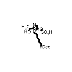 CCCCCCCCCCCCCCCCn1ccnc1C(C)O.O=S(=O)(O)O